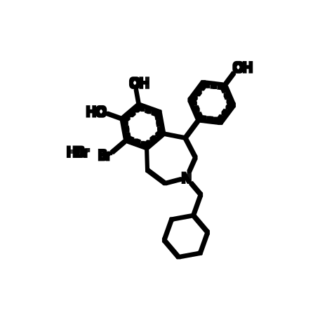 Br.Oc1ccc(C2CN(CC3CCCCC3)CCc3c2cc(O)c(O)c3Br)cc1